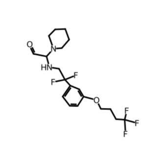 O=CC(NCC(F)(F)c1cccc(OCCCC(F)(F)F)c1)N1CCCCC1